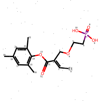 CCC=C(COCCP(=O)(O)O)C(=O)Oc1c(C)cc(C)cc1C